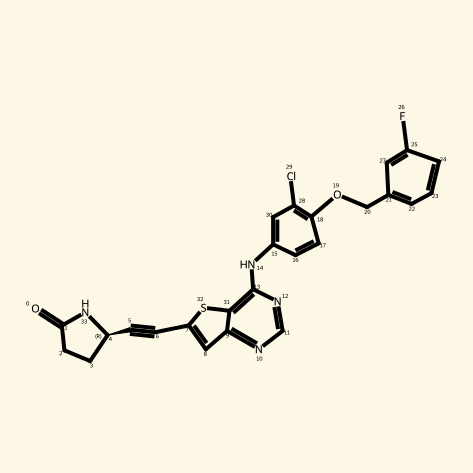 O=C1CC[C@H](C#Cc2cc3ncnc(Nc4ccc(OCc5cccc(F)c5)c(Cl)c4)c3s2)N1